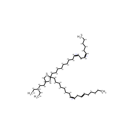 CCCCCC=CC/C=C\CCCCCCCC1(CCCCCCCC/C=C\C/C=C\CCCCC)OCC(CCN(CC)CC)O1